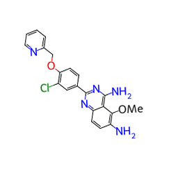 COc1c(N)ccc2nc(-c3ccc(OCc4ccccn4)c(Cl)c3)nc(N)c12